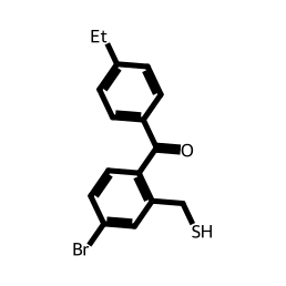 CCc1ccc(C(=O)c2ccc(Br)cc2CS)cc1